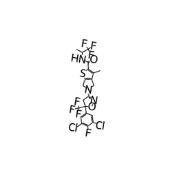 Cc1c(C(=O)NC(C)C(F)(F)F)sc2c1CN(C1=NOC(c3cc(Cl)c(F)c(Cl)c3)(C(F)(F)F)C1)C2